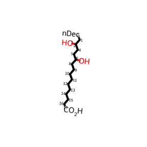 CCCCCCCCCCCC(O)CCC(O)CCCCCCCCCC(=O)O